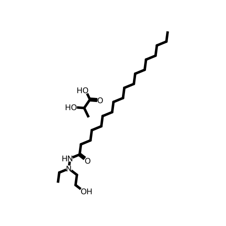 CC(O)C(=O)O.CCCCCCCCCCCCCCCCCC(=O)NN(CC)CCO